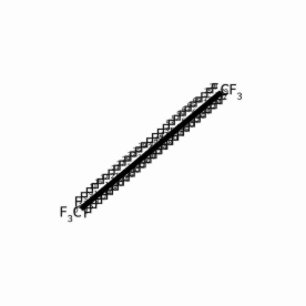 FC(F)(F)C(F)(F)C(F)(F)C(F)(F)C(F)(F)C(F)(F)C(F)(F)C(F)(F)C(F)(F)C(F)(F)C(F)(F)C(F)(F)C(F)(F)C(F)(F)C(F)(F)C(F)(F)C(F)(F)C(F)(F)C(F)(F)C(F)(F)C(F)(F)C(F)(F)C(F)(F)C(F)(F)C(F)(F)C(F)(F)C(F)(F)C(F)(F)F